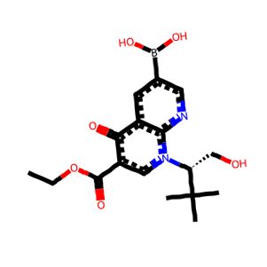 CCOC(=O)c1cn([C@H](CO)C(C)(C)C)c2ncc(B(O)O)cc2c1=O